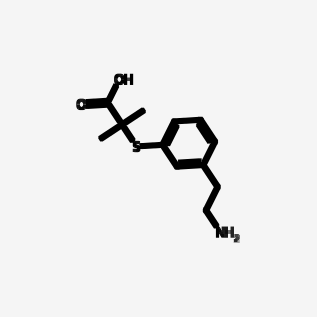 CC(C)(Sc1cccc(CCN)c1)C(=O)O